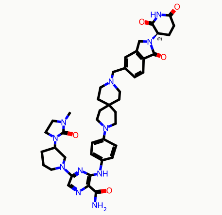 CN1CCN(C2CCCN(c3cnc(C(N)=O)c(Nc4ccc(N5CCC6(CCN(Cc7ccc8c(c7)CN([C@@H]7CCC(=O)NC7=O)C8=O)CC6)CC5)cc4)n3)C2)C1=O